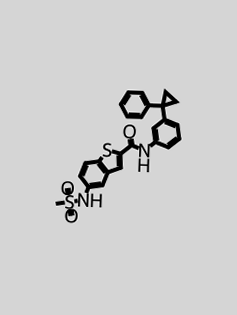 CS(=O)(=O)Nc1ccc2sc(C(=O)Nc3cccc(C4(c5ccccc5)CC4)c3)cc2c1